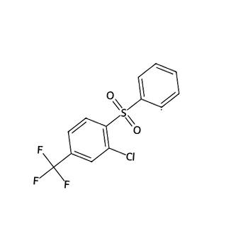 O=S(=O)(c1[c]cccc1)c1ccc(C(F)(F)F)cc1Cl